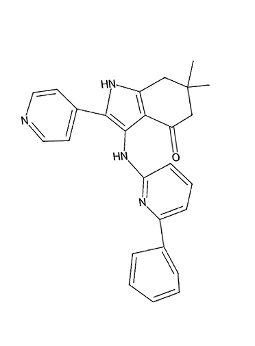 CC1(C)CC(=O)c2c([nH]c(-c3ccncc3)c2Nc2cccc(-c3ccccc3)n2)C1